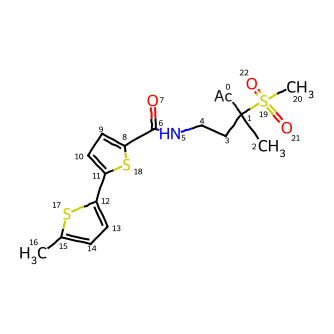 CC(=O)C(C)(CCNC(=O)c1ccc(-c2ccc(C)s2)s1)S(C)(=O)=O